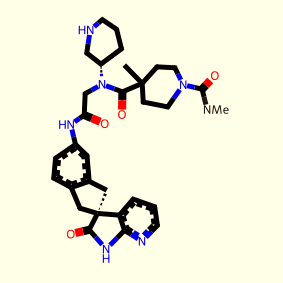 CNC(=O)N1CCC(C)(C(=O)N(CC(=O)Nc2ccc3c(c2)C[C@@]2(C3)C(=O)Nc3ncccc32)[C@H]2CCCNC2)CC1